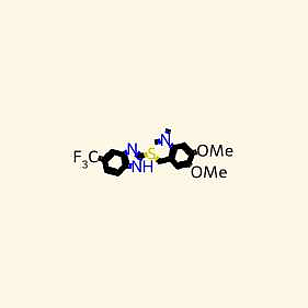 COc1cc(CSc2nc3cc(C(F)(F)F)ccc3[nH]2)c(N(C)C)cc1OC